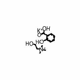 C[N+](C)(C)CCO.O=C(O)c1ccccc1O.[K+]